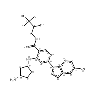 CC(C)(O)C(F)CNC(=O)c1cnc(-c2ccc3cc(C#N)cnn23)cc1N[C@@H]1CC[C@H](N)C1